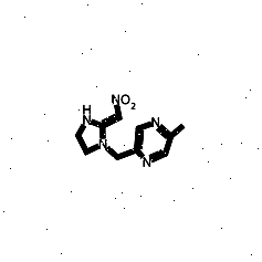 Cc1cnc(CN2CCN/C2=C\[N+](=O)[O-])cn1